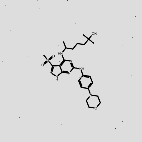 CC(CCCC(C)(C)O)Nc1nc(Nc2ccc(N3CCOCC3)cc2)nc2[nH]nc(S(C)(=O)=O)c12